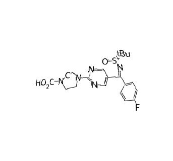 CC(C)(C)[S+]([O-])/N=C(/c1ccc(F)cc1)c1cnc(N2CCN(C(=O)O)CC2)nc1